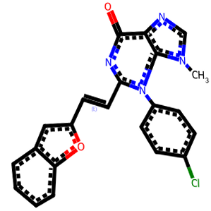 Cn1cnc2c(=O)nc(/C=C/c3cc4ccccc4o3)n(-c3ccc(Cl)cc3)c21